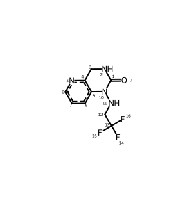 O=C1NCc2ncccc2N1NCC(F)(F)F